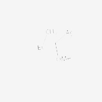 CCC.COCC(C)=O